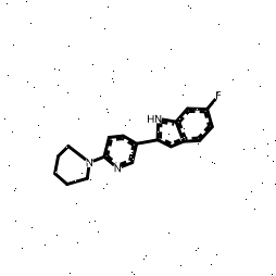 Fc1ccc2cc(-c3ccc(N4CCCCC4)nc3)[nH]c2c1